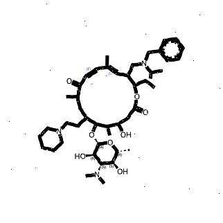 CCC1OC(=O)CC(O)C(C)C(O[C@@H]2O[C@H](C)[C@@H](O)[C@H](N(C)C)[C@H]2O)C(CCN2CCCCC2)CC(C)C(=O)/C=C\C(C)=C\C1CN(Cc1ccccc1)C(C)C